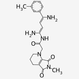 Cc1cccc(/C(N)=C/C=C(\N)NC(=O)CN2CCCC3=C2C(=O)N(C)C3=O)c1